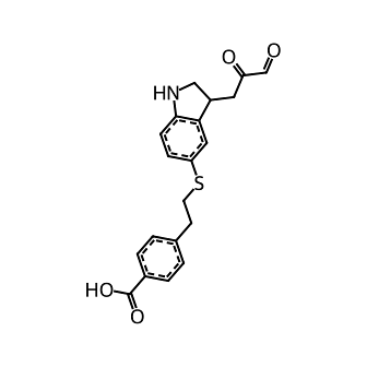 O=CC(=O)CC1CNc2ccc(SCCc3ccc(C(=O)O)cc3)cc21